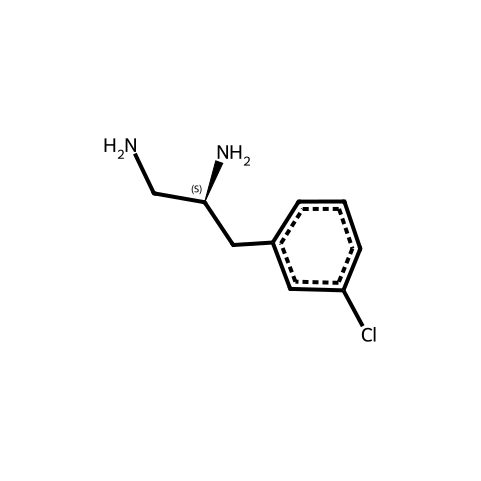 NC[C@@H](N)Cc1cccc(Cl)c1